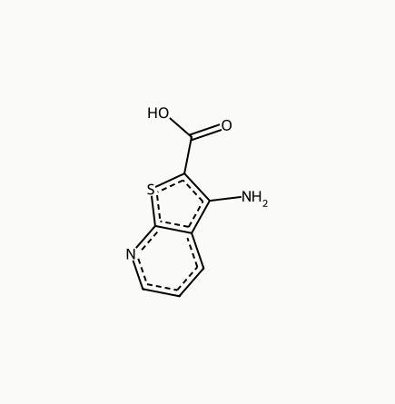 Nc1c(C(=O)O)sc2ncccc12